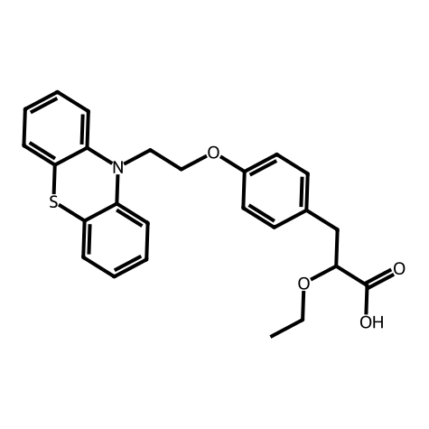 CCOC(Cc1ccc(OCCN2c3ccccc3Sc3ccccc32)cc1)C(=O)O